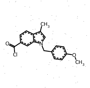 COc1ccc(Cn2cc(C)c3ccc(C(=O)Cl)cc32)cc1